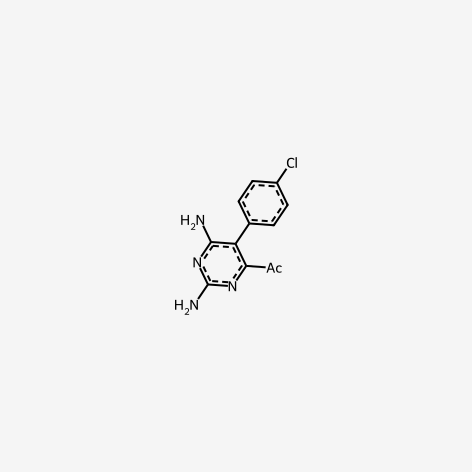 CC(=O)c1nc(N)nc(N)c1-c1ccc(Cl)cc1